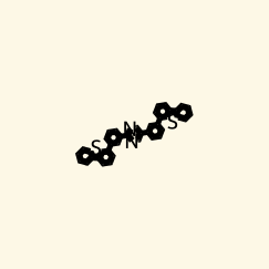 c1cc(-c2cnc(-c3cccc(-c4cccc5c4sc4ccccc45)c3)nc2)cc(-c2cccc3c2sc2ccccc23)c1